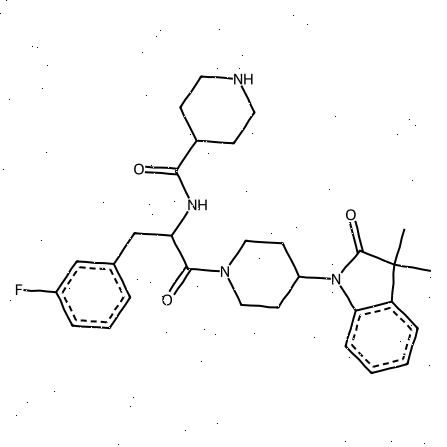 CC1(C)C(=O)N(C2CCN(C(=O)C(Cc3cccc(F)c3)NC(=O)C3CCNCC3)CC2)c2ccccc21